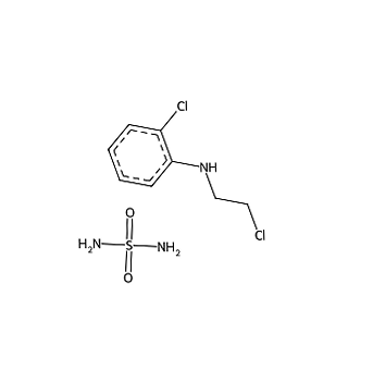 ClCCNc1ccccc1Cl.NS(N)(=O)=O